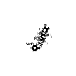 BC(B)(OP1(=O)OCc2cccc(OC)c2O1)[C@@]1(F)O[C@@](B)(n2cc(F)c(=S)[nH]c2=O)[C@H](O)[C@@H]1O